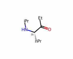 CCC[C@H](NC(C)C)C(=O)CC